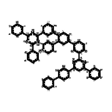 c1ccc(-c2ccc(-c3cc(-c4ccccc4)nc(-c4cccc(-c5ccc(-c6cccc(-c7nc(-c8ccccc8)nc(-c8ccccc8)n7)c6)c(-c6ccncc6)c5)c4)n3)cc2)cc1